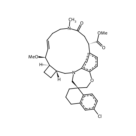 COC(=O)[C@H]1CC(=O)N(C)CC/C=C/[C@H](OC)[C@@H]2CC[C@H]2CN2C[C@@]3(CCCc4cc(Cl)ccc43)COc3ccc1cc32